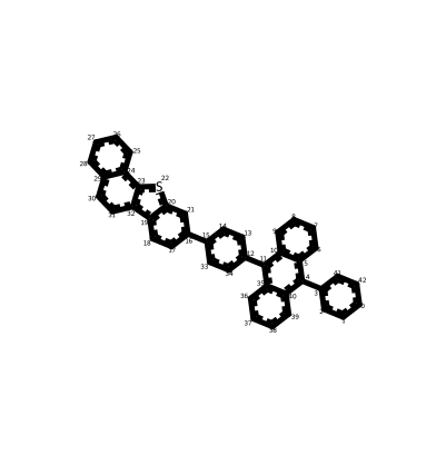 c1ccc(-c2c3ccccc3c(-c3ccc(-c4ccc5c(c4)sc4c6ccccc6ccc54)cc3)c3ccccc23)cc1